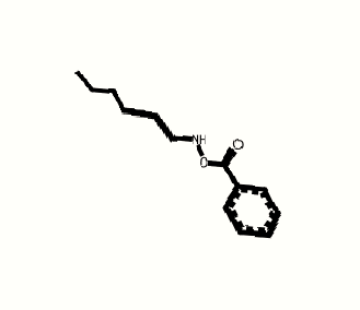 CCCCCCNOC(=O)c1ccccc1